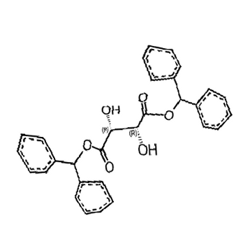 O=C(OC(c1ccccc1)c1ccccc1)[C@H](O)[C@@H](O)C(=O)OC(c1ccccc1)c1ccccc1